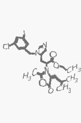 CCOC(=O)C(Cc1cncn1Cc1cc(Cl)cc(I)c1)N1C(C)OC(=O)C1CC(C)C